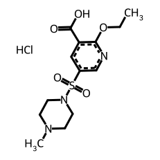 CCOc1ncc(S(=O)(=O)N2CCN(C)CC2)cc1C(=O)O.Cl